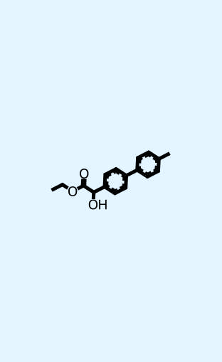 CCOC(=O)C(O)c1ccc(-c2ccc(C)cc2)cc1